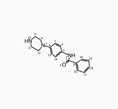 O=C(Nc1ccc(N2CCNCC2)cc1)c1ccccc1